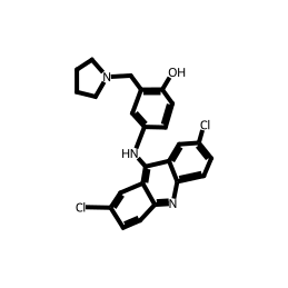 Oc1ccc(Nc2c3cc(Cl)ccc3nc3ccc(Cl)cc23)cc1CN1CCCC1